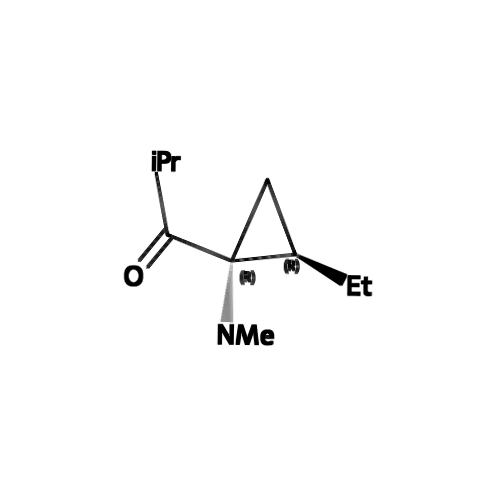 CC[C@@H]1C[C@]1(NC)C(=O)C(C)C